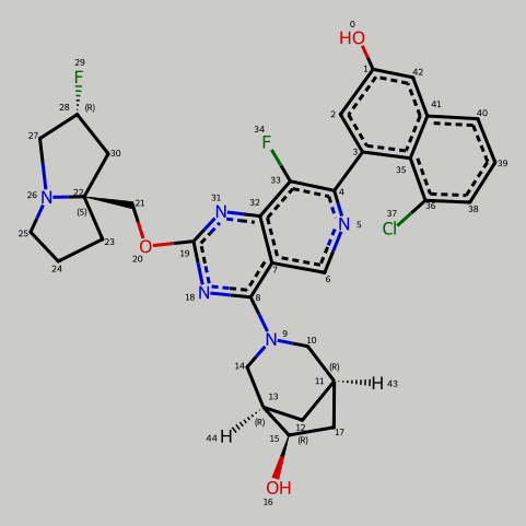 Oc1cc(-c2ncc3c(N4C[C@@H]5C[C@H](C4)[C@H](O)C5)nc(OC[C@@]45CCCN4C[C@H](F)C5)nc3c2F)c2c(Cl)cccc2c1